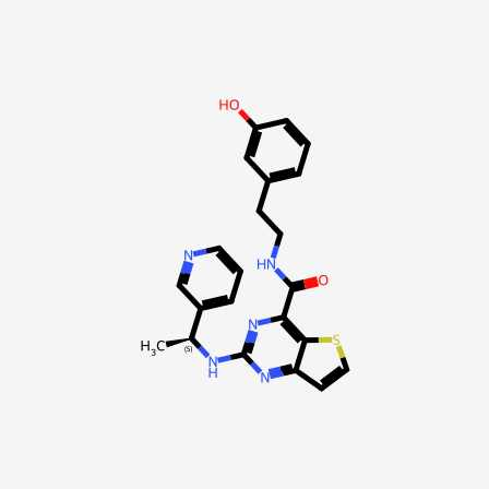 C[C@H](Nc1nc(C(=O)NCCc2cccc(O)c2)c2sccc2n1)c1cccnc1